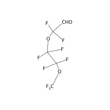 O=CC(F)(F)OC(F)(F)C(F)(F)OC(F)(F)F